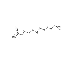 O=C(O)CCCCOCCCCCO